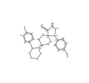 Cc1ccc(C2CCCCC2N2CCC3(CC2)C(=O)NCC3c2ccc(F)cc2)cc1